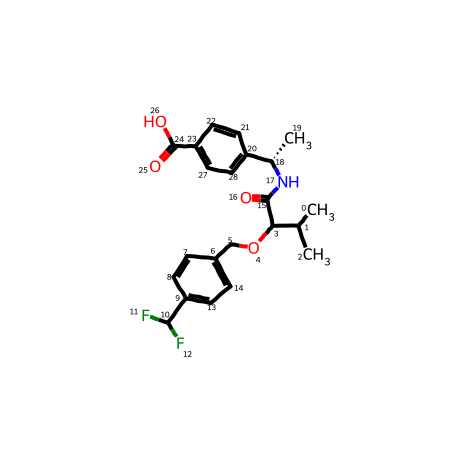 CC(C)C(OCc1ccc(C(F)F)cc1)C(=O)N[C@@H](C)c1ccc(C(=O)O)cc1